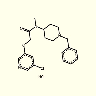 CN(C(=O)COc1cncc(Cl)c1)C1CCN(Cc2ccccc2)CC1.Cl